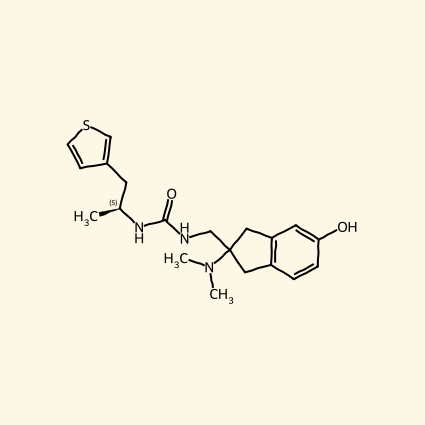 C[C@@H](Cc1ccsc1)NC(=O)NCC1(N(C)C)Cc2ccc(O)cc2C1